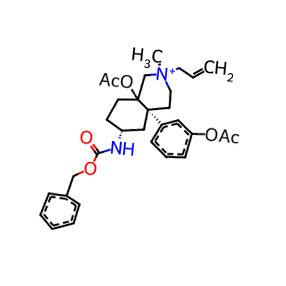 C=CC[N@@+]1(C)CC[C@@]2(c3cccc(OC(C)=O)c3)C[C@H](NC(=O)OCc3ccccc3)CCC2(OC(C)=O)C1